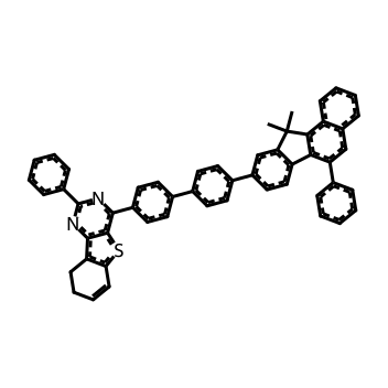 CC1(C)c2cc(-c3ccc(-c4ccc(-c5nc(-c6ccccc6)nc6c7c(sc56)C=CCC7)cc4)cc3)ccc2-c2c(-c3ccccc3)cc3ccccc3c21